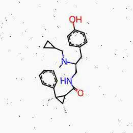 C[C@H]1C(C(=O)NC[C@H](Cc2ccc(O)cc2)N(C)CC2CC2)[C@]1(C)c1ccccc1